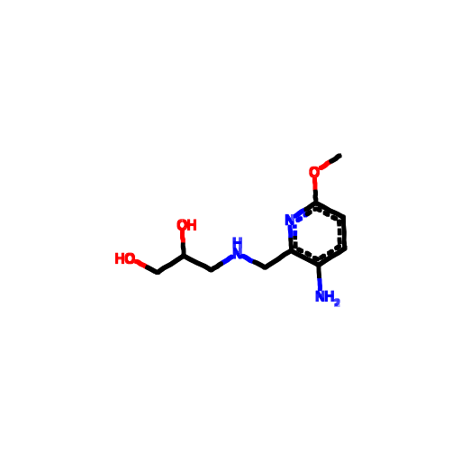 COc1ccc(N)c(CNCC(O)CO)n1